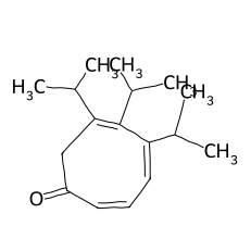 CC(C)C1=C/C=C\C(=O)C/C(C(C)C)=C\1C(C)C